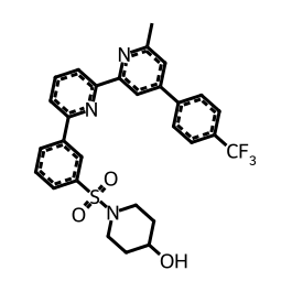 Cc1cc(-c2ccc(C(F)(F)F)cc2)cc(-c2cccc(-c3cccc(S(=O)(=O)N4CCC(O)CC4)c3)n2)n1